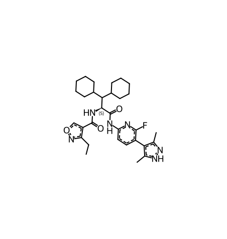 CCc1nocc1C(=O)N[C@H](C(=O)Nc1ccc(-c2c(C)n[nH]c2C)c(F)n1)C(C1CCCCC1)C1CCCCC1